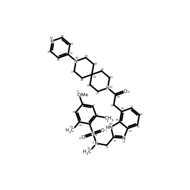 COc1cc(C)c(S(=O)(=O)N(C)Cc2nc3cccc(CC(=O)N4CCC5(CC4)CCN(c4ccncc4)CC5)c3[nH]2)c(C)c1